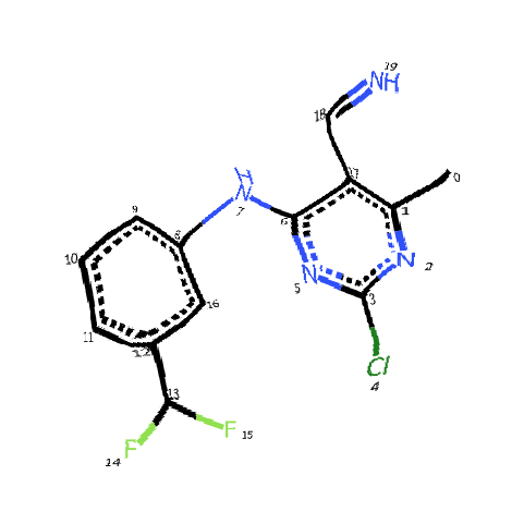 Cc1nc(Cl)nc(Nc2cccc(C(F)F)c2)c1C=N